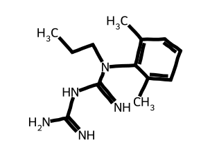 CCCN(C(=N)NC(=N)N)c1c(C)cccc1C